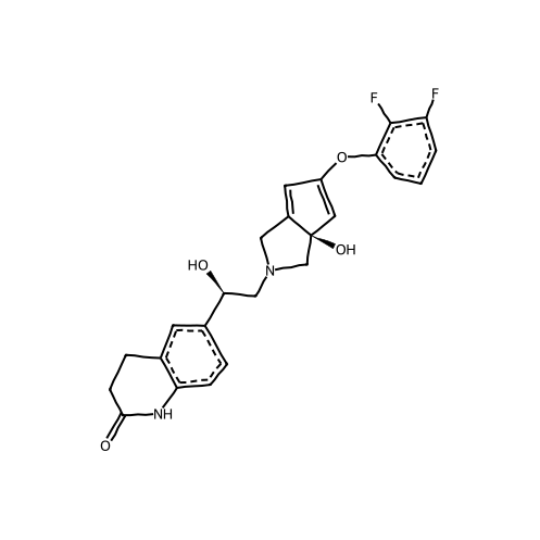 O=C1CCc2cc([C@@H](O)CN3CC4=CC(Oc5cccc(F)c5F)=C[C@]4(O)C3)ccc2N1